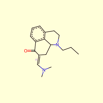 CCCN1CCc2cccc3c2C1C/C(=C\N(C)C)C3=O